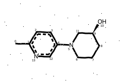 Cc1ccc(N2CCC[C@H](O)C2)cn1